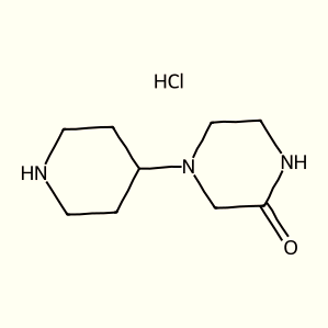 Cl.O=C1CN(C2CCNCC2)CCN1